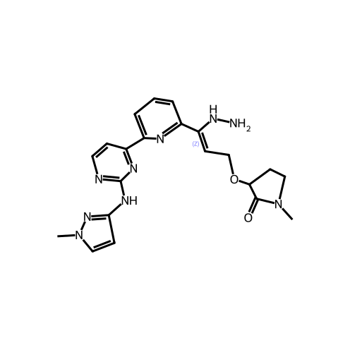 CN1CCC(OC/C=C(\NN)c2cccc(-c3ccnc(Nc4ccn(C)n4)n3)n2)C1=O